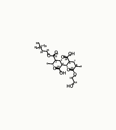 CCC(CC(CC(CC(C)C(=O)OCCO)C(=O)O)C(=O)O)C(=O)OCC[N+](C)(C)C